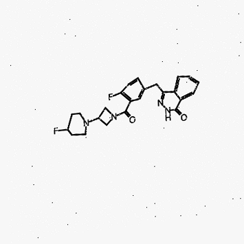 O=C(c1cc(Cc2n[nH]c(=O)c3ccccc23)ccc1F)N1CC(N2CCC(F)CC2)C1